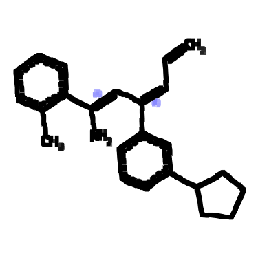 C=C/C=C(\C=C(/N)c1ccccc1C)c1cccc(C2CCCC2)c1